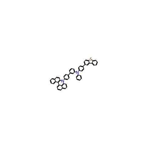 c1ccc(N(c2ccc(-c3ccc4sc5ccccc5c4c3)cc2)c2cccc(-c3ccc(N4c5ccc6ccccc6c5-c5cccc6cccc4c56)cc3)c2)cc1